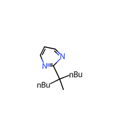 CCCCC(C)(CCCC)c1ncccn1